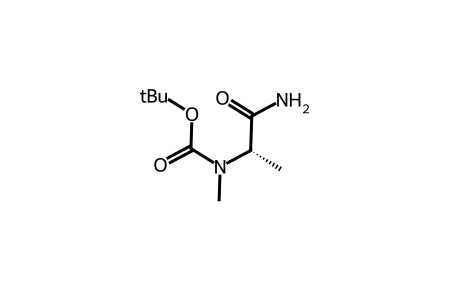 C[C@@H](C(N)=O)N(C)C(=O)OC(C)(C)C